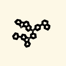 c1ccc(-c2ccc3c(c2)c2ccccc2n3-c2cccc(N(c3ccc(-c4cccc5ccccc45)cc3)c3ccc4c(ccc5c6ccccc6oc45)c3)c2)cc1